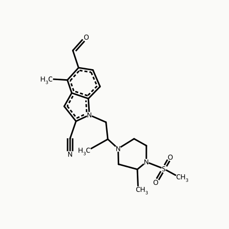 Cc1c(C=O)ccc2c1cc(C#N)n2CC(C)N1CCN(S(C)(=O)=O)C(C)C1